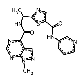 CC(NC(=O)c1ncnc2c1cnn2C)c1ncc(C(=O)Nc2cccnc2)s1